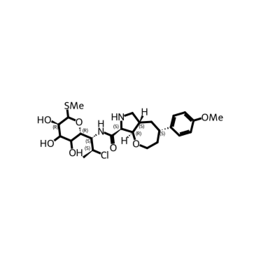 COc1ccc([C@@H]2CCO[C@@H]3[C@H](CN[C@@H]3C(=O)N[C@H]([C@H](C)Cl)[C@H]3OC(SC)[C@H](O)C(O)C3O)C2)cc1